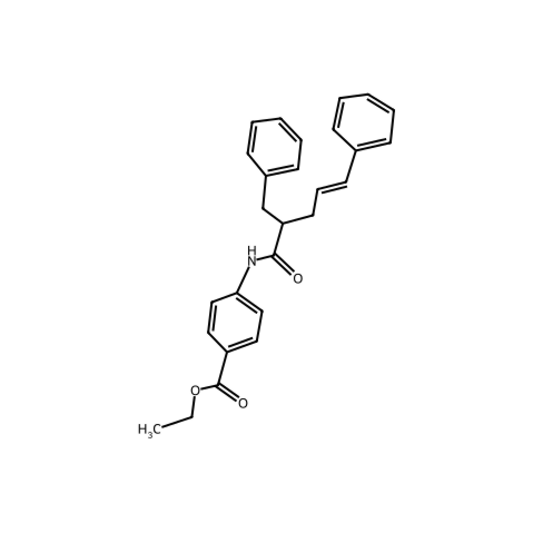 CCOC(=O)c1ccc(NC(=O)C(CC=Cc2ccccc2)Cc2ccccc2)cc1